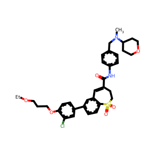 CCOCCCOc1ccc(-c2ccc3c(c2)C=C(C(=O)Nc2ccc(CN(C)C4CCOCC4)cc2)CCS3(=O)=O)cc1Cl